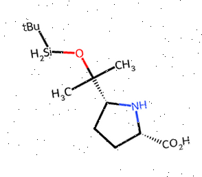 CC(C)(C)[SiH2]OC(C)(C)[C@H]1CC[C@@H](C(=O)O)N1